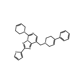 C1=CCN(c2ncc(CN3CC=C(c4ccccc4)CC3)c3nc(-c4ccco4)nn23)CC1